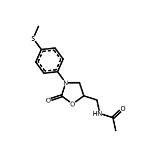 CSc1ccc(N2CC(CNC(C)=O)OC2=O)cc1